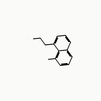 BrCCc1cccc2cccc(Br)c12